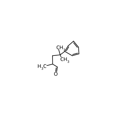 CC(C=O)CC(C)(C)c1ccccc1